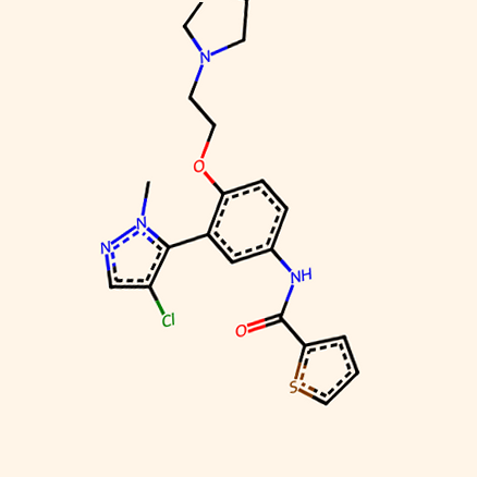 Cn1ncc(Cl)c1-c1cc(NC(=O)c2cccs2)ccc1OCCN1CCCC1